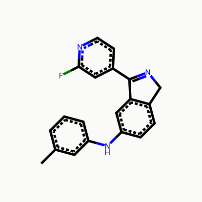 Cc1cccc(Nc2ccc3c(c2)C(c2ccnc(F)c2)=NC3)c1